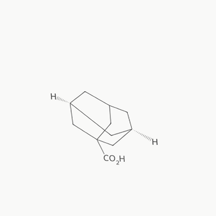 O=C(O)C12CC3C[C@H](C1)C[C@@H](C3)C2